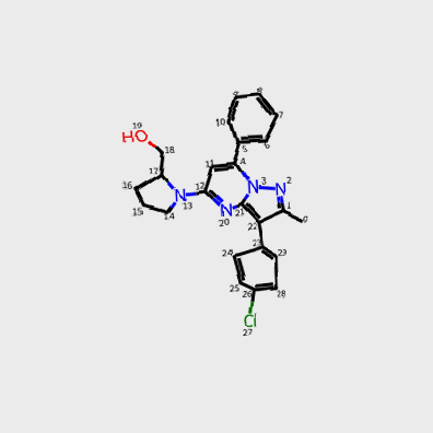 Cc1nn2c(-c3ccccc3)cc(N3CCCC3CO)nc2c1-c1ccc(Cl)cc1